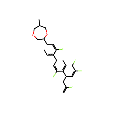 C=C(F)CC(/C=C(/F)CF)C(=C/C)/C(F)=C\CC(=C/C)/C(F)=C\CC1COCC(C)CO1